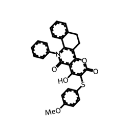 COc1ccc(Sc2c(O)c3c(=O)n(-c4ccccc4)c4c(c3oc2=O)CCc2ccccc2-4)cc1